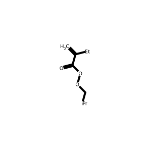 C=C(CC)C(=O)OOCC(C)C